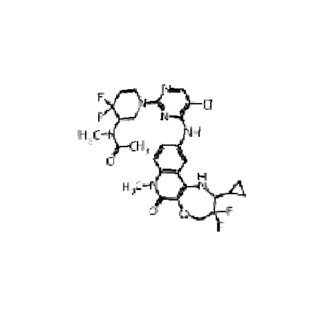 CC(=O)N(C)C1CN(c2ncc(Cl)c(Nc3ccc4c(c3)c3c(c(=O)n4C)OCC(F)(F)C(C4CC4)N3)n2)CCC1(F)F